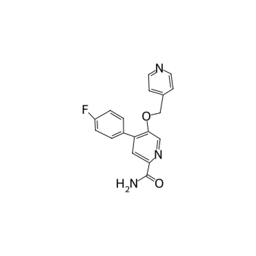 NC(=O)c1cc(-c2ccc(F)cc2)c(OCc2ccncc2)cn1